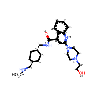 O=C(O)NC[C@H]1CC[C@H](CNC(=O)c2cc(N3CCN(CCO)CC3)nc3ccccc23)CC1